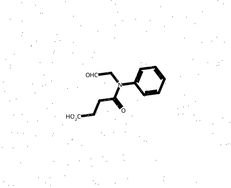 O=CCN(C(=O)CCC(=O)O)c1ccccc1